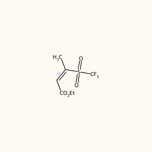 CCOC(=O)/C=C(/C)S(=O)(=O)C(F)(F)F